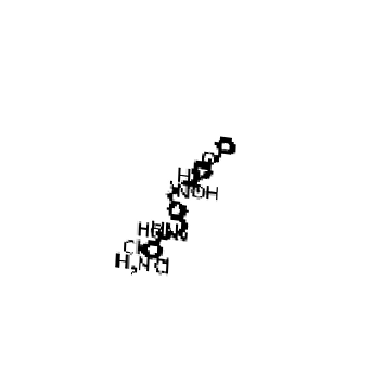 C[C@H](Cc1ccc(C[C@@H](C)NC[C@H](O)c2ccc(OCc3ccccc3)cc2)cc1)NCC(O)c1cc(Cl)c(N)c(Cl)c1